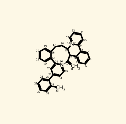 C=C1C2c3ccccc3-c3cccc[n+]3C2CCc2ccccc2-c2cc(-c3ccccc3C)cc[n+]21